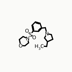 CCC1CCN(Cc2cccc(S(=O)(=O)N3CCOCC3)c2)C1